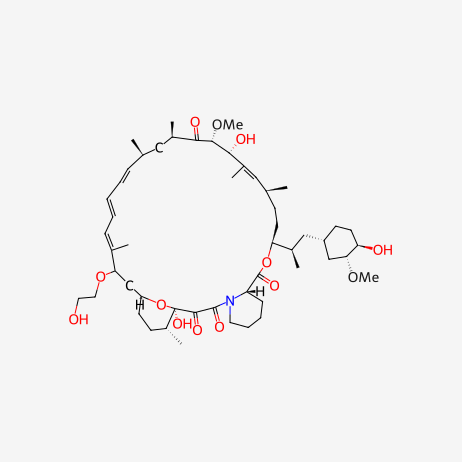 CO[C@@H]1C[C@H](C[C@@H](C)[C@@H]2CC[C@H](C)/C=C(\C)[C@@H](O)[C@@H](OC)C(=O)[C@H](C)C[C@H](C)/C=C/C=C/C=C(\C)C(OCCO)C[C@@H]3CC[C@@H](C)[C@@](O)(O3)C(=O)C(=O)N3CCCC[C@H]3C(=O)O2)CC[C@H]1O